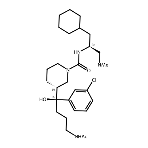 CNC[C@H](CC1CCCCC1)NC(=O)N1CCC[C@@H]([C@@](O)(CCCNC(C)=O)c2cccc(Cl)c2)C1